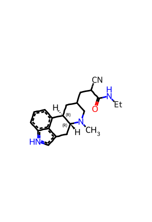 CCNC(=O)C(C#N)CC1C[C@@H]2c3cccc4[nH]cc(c34)C[C@H]2N(C)C1